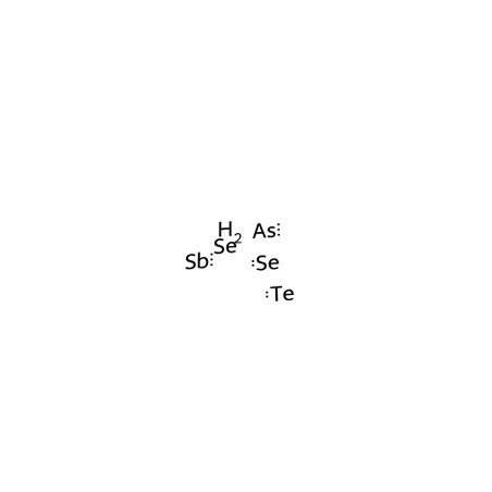 [As].[Sb].[SeH2].[Se].[Te]